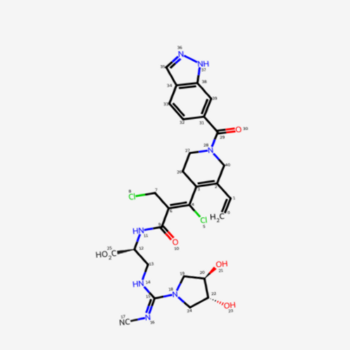 C=CC1=C(/C(Cl)=C(\CCl)C(=O)N[C@@H](CN/C(=N\C#N)N2C[C@@H](O)[C@H](O)C2)C(=O)O)CCN(C(=O)c2ccc3cn[nH]c3c2)C1